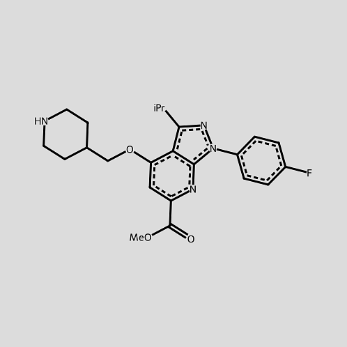 COC(=O)c1cc(OCC2CCNCC2)c2c(C(C)C)nn(-c3ccc(F)cc3)c2n1